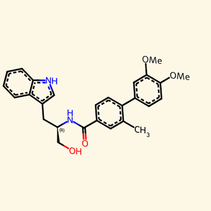 COc1ccc(-c2ccc(C(=O)N[C@@H](CO)Cc3c[nH]c4ccccc34)cc2C)cc1OC